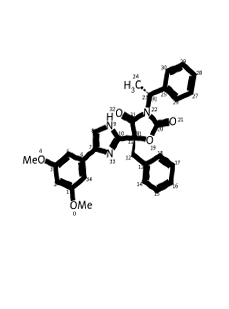 COc1cc(OC)cc(-c2c[nH]c([C@@]3(Cc4ccccc4)OC(=O)N([C@H](C)c4ccccc4)C3=O)n2)c1